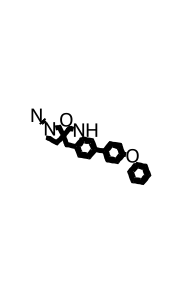 N#CN1CCC2(Cc3ccc(-c4ccc(Oc5ccccc5)cc4)cc3NC2=O)C1